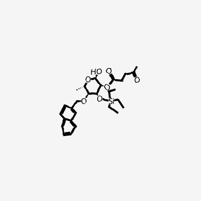 CC[Si](CC)(CC)O[C@@H]1[C@@H](OCc2ccc3ccccc3c2)[C@H](C)O[C@@H](O)[C@@H]1OC(=O)CCC(C)=O